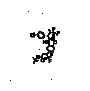 C[C@H]([C@H](C(=O)Nc1cc(C(CC(=O)OC(C)(C)C)C(F)(F)F)ccc1Cl)c1ccc(Cl)cc1)C(F)(F)F